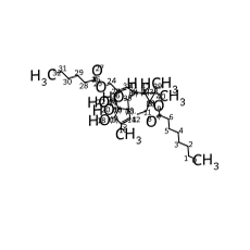 CCCCCCCC(=O)O[C@@]12CC[C@]34C=C(C)[C@H](O)[C@@]3(O)[C@H](O)C(COC(=O)CCCCC)=C[C@H](C4O)[C@@H]1C2(C)C